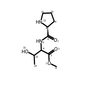 COC(=O)C(NC(=O)[C@@H]1CCCN1)C(C)O